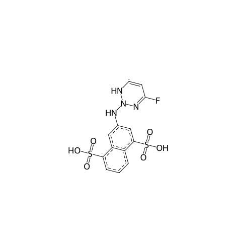 O=S(=O)(O)c1cc(NN2N=C(F)C=[C]N2)cc2c(S(=O)(=O)O)cccc12